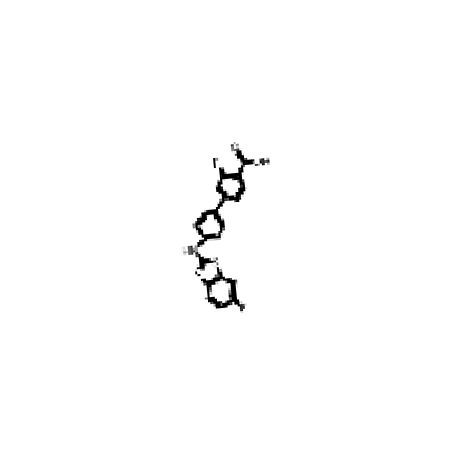 O=C(O)c1ccc(-c2ccc(Nc3nc4ccc(F)cc4s3)cc2)cc1F